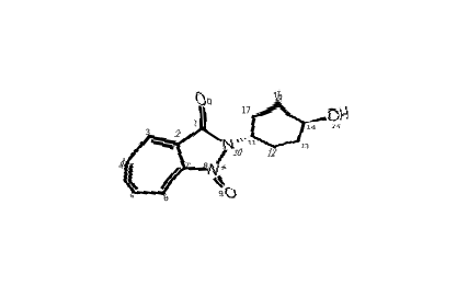 O=C1c2ccccc2[N+](=O)N1[C@H]1CC[C@H](O)CC1